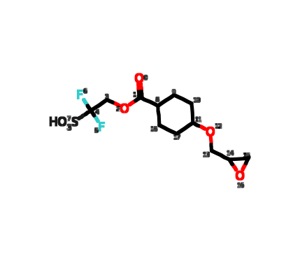 O=C(OCC(F)(F)S(=O)(=O)O)C1CCC(OCC2CO2)CC1